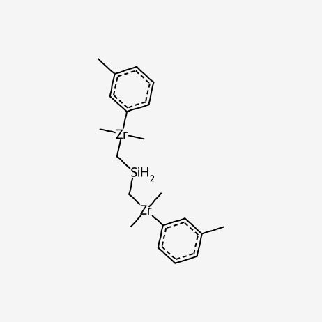 Cc1ccc[c]([Zr]([CH3])([CH3])[CH2][SiH2][CH2][Zr]([CH3])([CH3])[c]2cccc(C)c2)c1